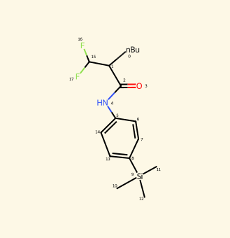 CCCCC(C(=O)Nc1ccc([Si](C)(C)C)cc1)C(F)F